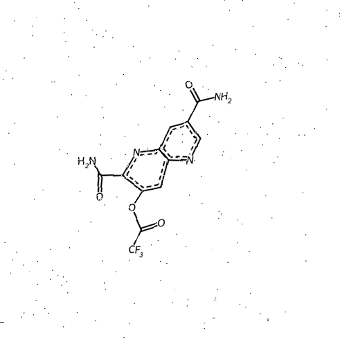 NC(=O)c1cnc2cc(OC(=O)C(F)(F)F)c(C(N)=O)nc2c1